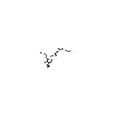 CSCCCNC(=O)c1csc(-c2csc(Cn3c(CC[C@H](C)NC(=O)OC(C)(C)C)c4c(cc3=O)C3(CC3)NC4=O)n2)n1